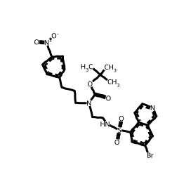 CC(C)(C)OC(=O)N(CCCc1ccc([N+](=O)[O-])cc1)CCNS(=O)(=O)c1cc(Br)cc2cnccc12